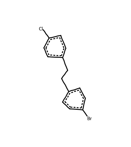 Clc1ccc(CCc2ccc(Br)cc2)cc1